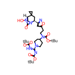 CC(C)(C)OC(=O)/N=C(\NC(=O)OC(C)(C)C)N1CCC(N(CCc2cc([C@@H]3CC4(CC4)[C@H]4CN3C(=O)N4O)no2)C(=O)OC(C)(C)C)CC1